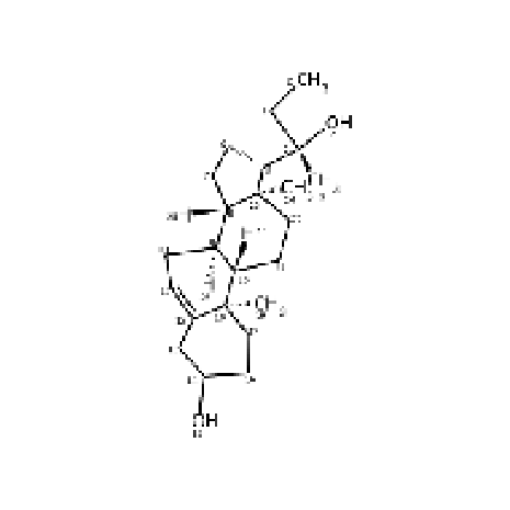 CC[C@](C)(O)[C@H]1CC[C@H]2[C@@H]3CC=C4CC(O)CC[C@]4(C)[C@H]3CC[C@@]21C